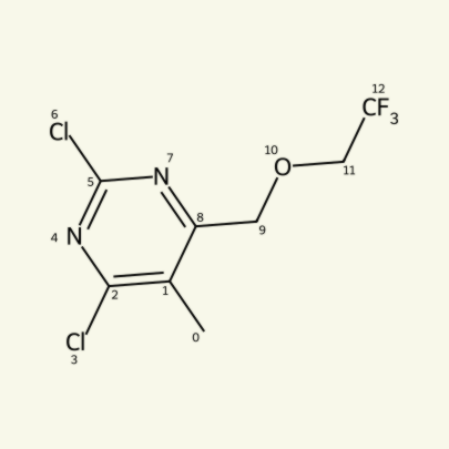 Cc1c(Cl)nc(Cl)nc1COCC(F)(F)F